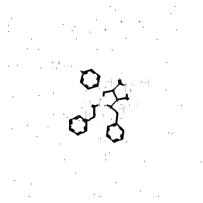 COc1ccc([C@H]2[C@H]3C(=O)N(C)C(=O)[C@H]3[C@@](Cc3ccccc3)(C(=O)O)N2C(=O)Cc2ccccc2)cc1